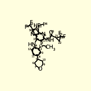 CSc1cc(C2CCOCC2)ccc1Nc1cc(NC(=O)C2CC2(F)F)nc2c1nc(C(F)F)n2PI